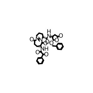 O=C1C[C@H](NC(=O)[C@@H]2CCCN3C(=O)CC[C@H](NC(=O)C(=O)c4ccccc4)C(=O)N23)C(OCc2ccccc2)O1